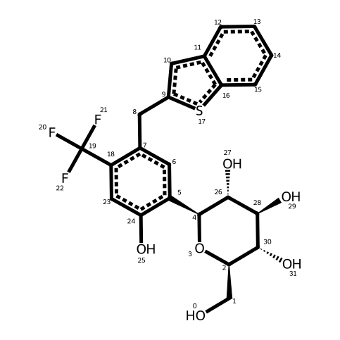 OC[C@H]1O[C@@H](c2cc(Cc3cc4ccccc4s3)c(C(F)(F)F)cc2O)[C@H](O)[C@@H](O)[C@@H]1O